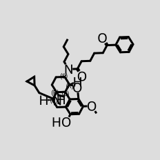 CCCCN(C(=O)CCCCC(=O)c1ccccc1)[C@H]1CC[C@H]2[C@H]3Cc4c(O)cc(OC)c5c4[C@@]2(CCN3CC2CC2)[C@H]1O5